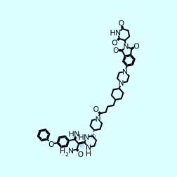 N=C(/C(C(N)=O)=C1/NCC[C@@H](C2CCN(C(=O)CCCC3CCC(N4CCN(c5ccc6c(c5)C(=O)N(C5CCC(=O)NC5=O)C6=O)CC4)CC3)CC2)N1)c1ccc(Oc2ccccc2)cc1